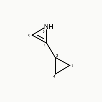 C1=C(C2CC2)N1